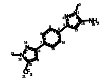 Cn1nc(-c2ccc(-c3cc(C(F)(F)F)n(C)n3)cc2)cc1N